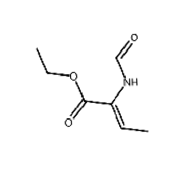 C/C=C(\NC=O)C(=O)OCC